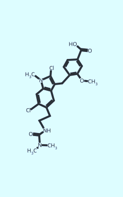 COc1cc(C(=O)O)ccc1Cc1c(Cl)n(C)c2cc(Cl)c(CCNC(=O)N(C)C)cc12